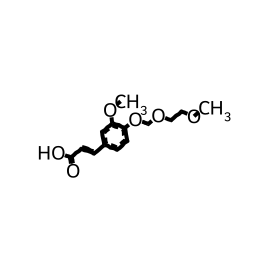 COCCOCOc1ccc(C=CC(=O)O)cc1OC